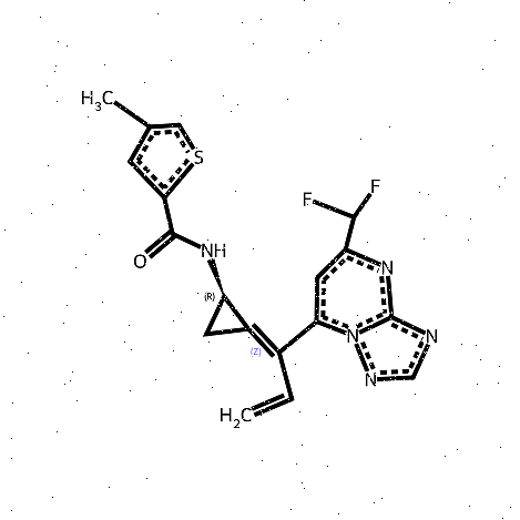 C=C/C(=C1\C[C@H]1NC(=O)c1cc(C)cs1)c1cc(C(F)F)nc2ncnn12